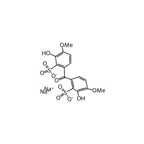 COc1ccc(C(=O)c2ccc(OC)c(O)c2S(=O)(=O)[O-])c(S(=O)(=O)[O-])c1O.[Na+].[Na+]